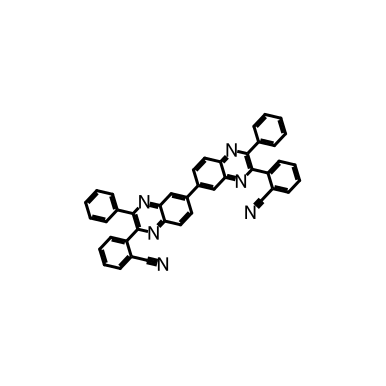 N#Cc1ccccc1-c1nc2ccc(-c3ccc4nc(-c5ccccc5)c(-c5ccccc5C#N)nc4c3)cc2nc1-c1ccccc1